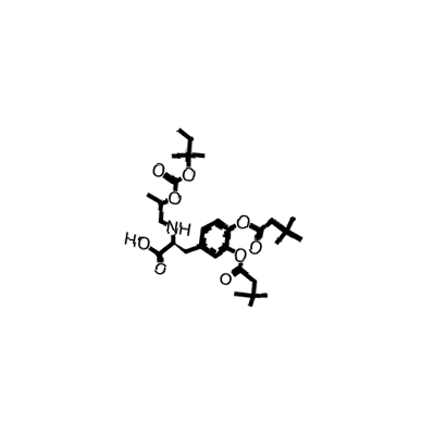 CCC(C)(C)OC(=O)OC(C)CN[C@@H](Cc1ccc(OC(=O)CC(C)(C)C)c(OC(=O)CC(C)(C)C)c1)C(=O)O